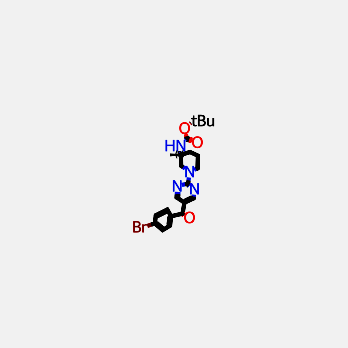 CC(C)(C)OC(=O)N[C@]1(C)CCCN(c2ncc(C(=O)c3ccc(Br)cc3)cn2)C1